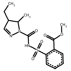 CCC1C=NN(C(=O)NS(=O)(=O)c2ccccc2C(=O)OC)C1C